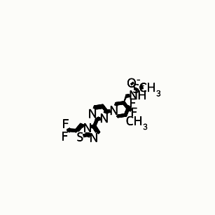 C[C@H]1CN(c2ccnc(-c3cnc4sc(C(F)F)cn34)n2)C[C@@H](CN[S+](C)[O-])C1(F)F